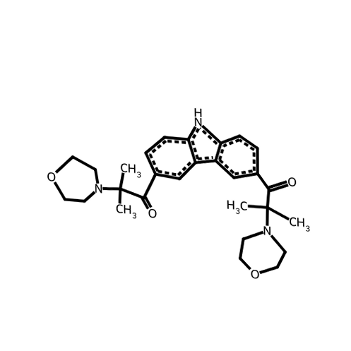 CC(C)(C(=O)c1ccc2[nH]c3ccc(C(=O)C(C)(C)N4CCOCC4)cc3c2c1)N1CCOCC1